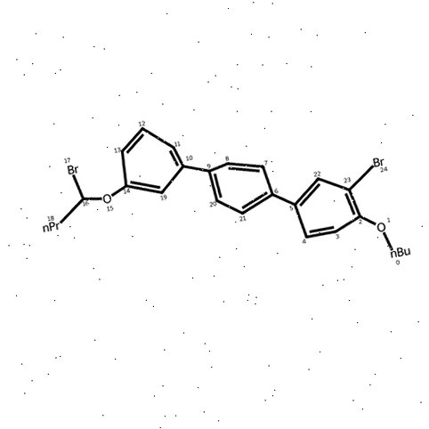 CCCCOc1ccc(-c2ccc(-c3cccc(OC(Br)CCC)c3)cc2)cc1Br